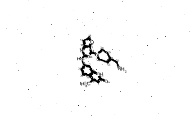 Cc1cc(=O)[nH]c2cc(Nc3nc(N4CCC(CN)CC4)c4occc4n3)ccc12